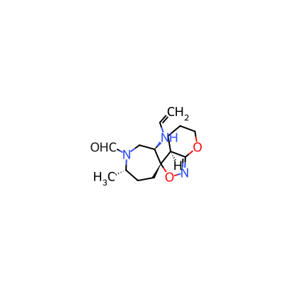 C=CN[C@@H]1CN(C=O)[C@@H](C)CC[C@@]12ON=C1OCCC[C@@H]12